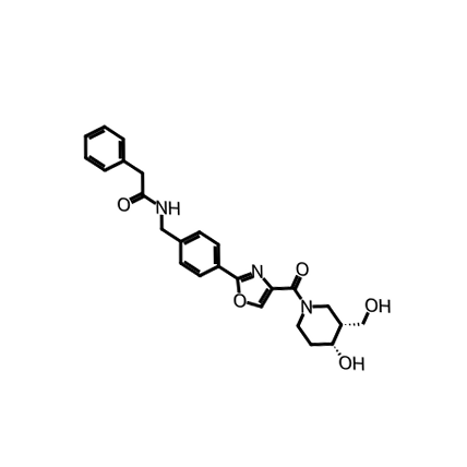 O=C(Cc1ccccc1)NCc1ccc(-c2nc(C(=O)N3CC[C@@H](O)[C@@H](CO)C3)co2)cc1